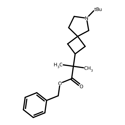 CC(C)(C(=O)OCc1ccccc1)C1CC2(CCN(C(C)(C)C)C2)C1